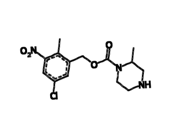 Cc1c(COC(=O)N2CCNCC2C)cc(Cl)cc1[N+](=O)[O-]